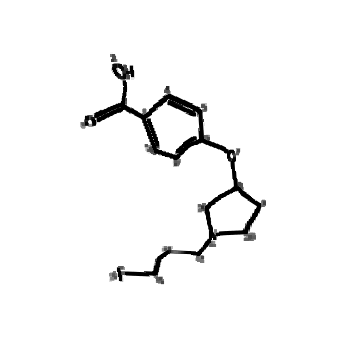 O=C(O)c1ccc(OC2CCN(CCCF)C2)cc1